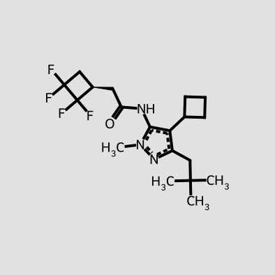 Cn1nc(CC(C)(C)C)c(C2CCC2)c1NC(=O)C[C@@H]1CC(F)(F)C1(F)F